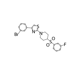 O=S(=O)(c1cccc(F)c1)C1CCN(c2nc(-c3cccc(Br)c3)cs2)CC1